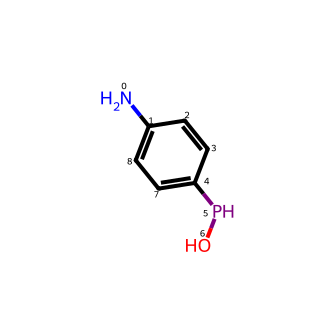 Nc1ccc(PO)cc1